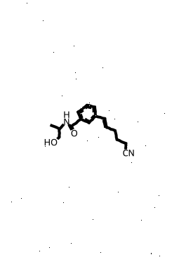 CC(CO)NC(=O)c1cccc(C=CCCCC#N)c1